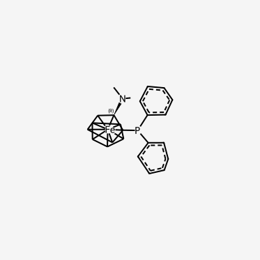 CN(C)[C@@]12[CH]3[CH]4[CH]5[C]1(P(c1ccccc1)c1ccccc1)[Fe]45321678[CH]2[CH]1[CH]6[CH]7[CH]28